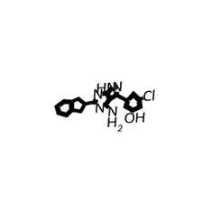 Nc1nc(C2Cc3ccccc3C2)nc2[nH]nc(-c3cc(O)cc(Cl)c3)c12